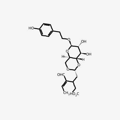 C/C=C(/C=O)C(CC(=O)O)C[C@@H]1OC[C@H]2O[C@@H](OCCc3ccc(O)cc3)[C@H](O)[C@@H](O)[C@@H]2O1